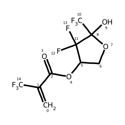 C=C(C(=O)OC1COC(O)(C(F)(F)F)C1(F)F)C(F)(F)F